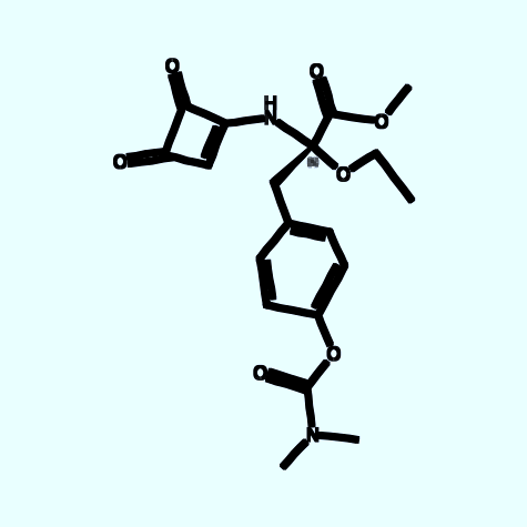 CCO[C@](Cc1ccc(OC(=O)N(C)C)cc1)(Nc1cc(=O)c1=O)C(=O)OC